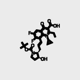 CCc1c(C(=O)O)c(=O)c2cc(F)c(F)c(C=CC[C@@H]3[C@H](O)CCN3C(=O)OC(C)(C)C)c2n1C1CC1